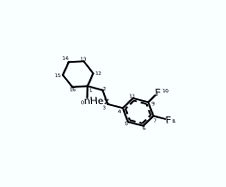 CCCCCCC1(CCc2ccc(F)c(F)c2)CCCCC1